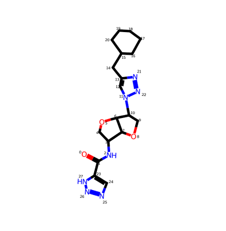 O=C(NC1COC2C1OCC2n1cc(CC2CCCCC2)nn1)c1cnn[nH]1